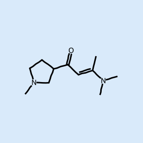 C/C(=C\C(=O)C1CCN(C)C1)N(C)C